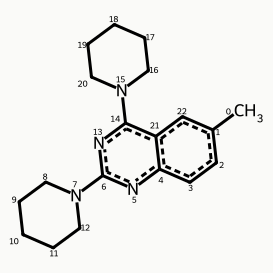 Cc1ccc2nc(N3CCCCC3)nc(N3CCCCC3)c2c1